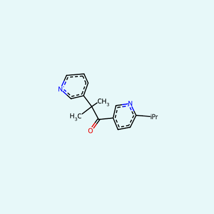 CC(C)c1ccc(C(=O)C(C)(C)c2cccnc2)cn1